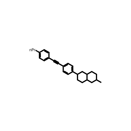 CCCc1ccc(C#Cc2ccc(C3CCC4CC(C)CCC4C3)cc2)cc1